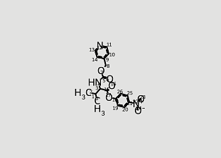 CC(C)C(NC(=O)OCc1ccncc1)C(=O)Oc1ccc([N+](=O)[O-])cc1